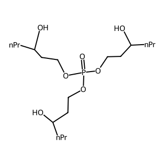 CCCC(O)CCOP(=O)(OCCC(O)CCC)OCCC(O)CCC